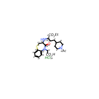 CCOC(=O)[C@@H](CCC1CCN(C(C)=O)CC1)NC1CSc2ccccc2N(CC(=O)O)C1=O.Cl